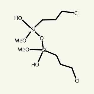 CO[Si](O)(CCCCl)O[Si](O)(CCCCl)OC